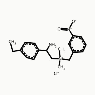 CCc1ccc(C(N)C[N+](C)(C)Cc2cccc([N+](=O)[O-])c2)cc1.[Cl-]